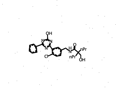 CCCC(CO)(CCC)C(=O)NCc1ccc(Cl)c(-c2nc(O)nc(-c3ccccc3)n2)c1